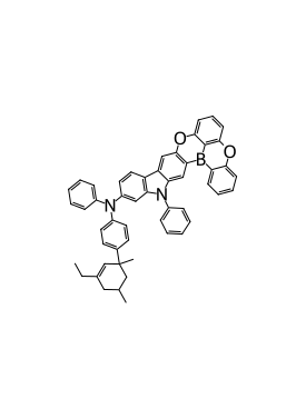 CCC1=CC(C)(c2ccc(N(c3ccccc3)c3ccc4c5cc6c(cc5n(-c5ccccc5)c4c3)B3c4ccccc4Oc4cccc(c43)O6)cc2)CC(C)C1